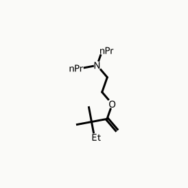 C=C(OCCN(CCC)CCC)C(C)(C)CC